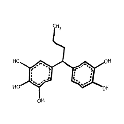 CCCC(c1ccc(O)c(O)c1)c1cc(O)c(O)c(O)c1